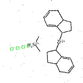 C1=CCC2CC[CH]([Zr+2][CH]3CCC4CC=CC=C43)C2=C1.C[SiH4+2]C.[Cl-].[Cl-].[Cl-].[Cl-]